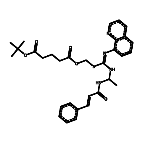 CC(NC(=O)/C=C/c1ccccc1)N/C(=N\c1cccc2cccnc12)SCOC(=O)CCCC(=O)OC(C)(C)C